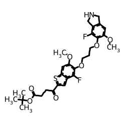 COc1cc2c(c(F)c1OCCCOc1c(OC)cc3sc(C(=O)CCC(=O)OC(C)(C)C)cc3c1F)CNC2